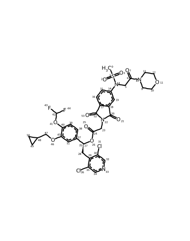 CS(=O)(=O)N(CC(=O)N1CCOCC1)c1ccc2c(c1)C(=O)N(CC(=O)O[C@@H](Cc1c(Cl)cncc1Cl)c1ccc(OC(F)F)c(OCC3CC3)c1)C2=O